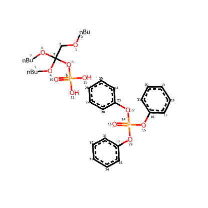 CCCCOCC(OCCCC)(OCCCC)OP(=O)(O)O.O=P(Oc1ccccc1)(Oc1ccccc1)Oc1ccccc1